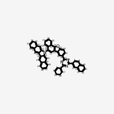 C1=CC(c2nc(-c3ccc4ccccc4c3)nc(-c3ccc4oc5c6ccccc6c(-n6c7cc8ccccc8cc7c7cc8ccccc8cc76)cc5c4c3)n2)=CCC1